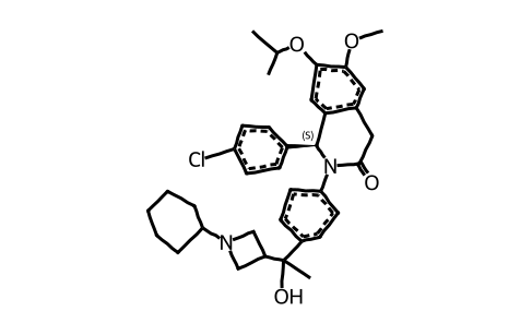 COc1cc2c(cc1OC(C)C)[C@H](c1ccc(Cl)cc1)N(c1ccc(C(C)(O)C3CN(C4CCCCC4)C3)cc1)C(=O)C2